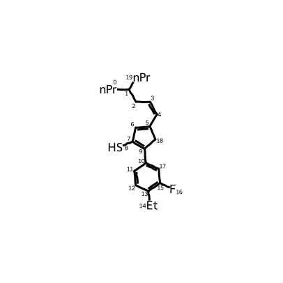 CCCC(C/C=C\C1=CC(S)=C(c2ccc(CC)c(F)c2)C1)CCC